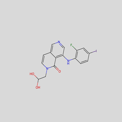 O=c1c2c(Nc3ccc(I)cc3F)cncc2ccn1CC(O)O